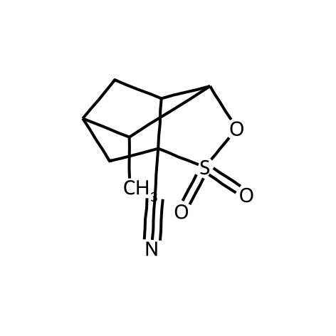 CC1C2CC3C1OS(=O)(=O)C3(C#N)C2